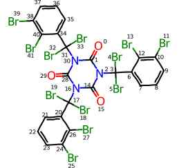 O=c1n(C(Br)(Br)c2cccc(Br)c2Br)c(=O)n(C(Br)(Br)c2cccc(Br)c2Br)c(=O)n1C(Br)(Br)c1cccc(Br)c1Br